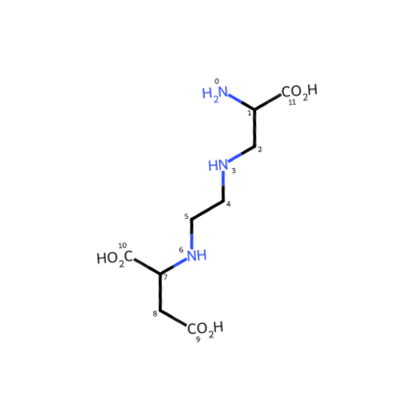 NC(CNCCNC(CC(=O)O)C(=O)O)C(=O)O